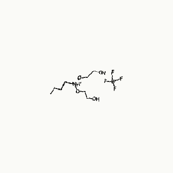 CCCC[NH+](OCCO)OCCO.F[B-](F)(F)F